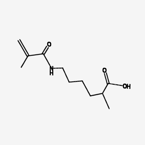 C=C(C)C(=O)NCCCCC(C)C(=O)O